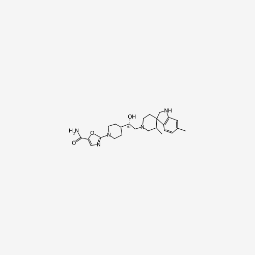 Cc1ccc2c(c1)NCC21CCN(C[C@@H](O)C2CCN(c3ncc(C(N)=O)o3)CC2)CC1C